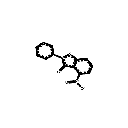 O=c1c2c([N+](=O)[O-])cccc2sn1-c1ccccc1